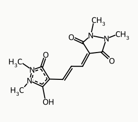 CN1C(=O)C(=CC=Cc2c(O)n(C)n(C)c2=O)C(=O)N1C